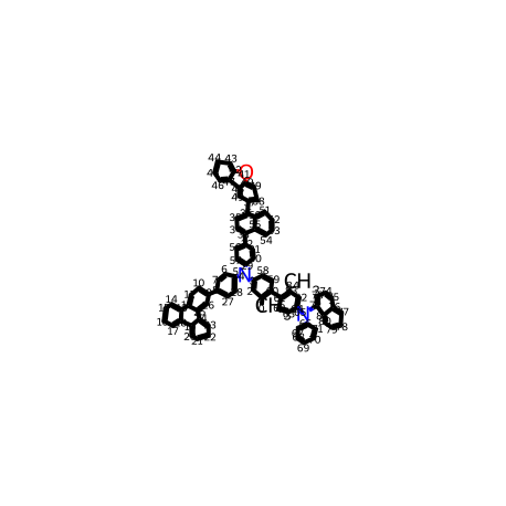 Cc1cc(N(c2ccc(-c3ccc4c5ccccc5c5ccccc5c4c3)cc2)c2ccc(-c3ccc(-c4ccc5oc6ccccc6c5c4)c4ccccc34)cc2)ccc1-c1ccc(N(c2ccccc2)c2cccc3ccccc23)cc1C